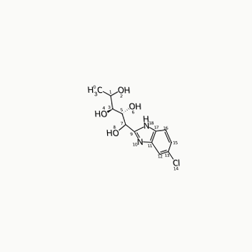 CC(O)[C@H](O)[C@H](O)C(O)c1nc2cc(Cl)ccc2[nH]1